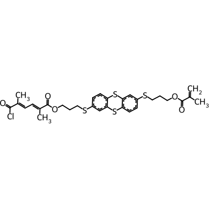 C=C(C)C(=O)OCCCSc1ccc2c(c1)Sc1ccc(SCCCOC(=O)/C(C)=C/C=C(\C)C(=O)Cl)cc1S2